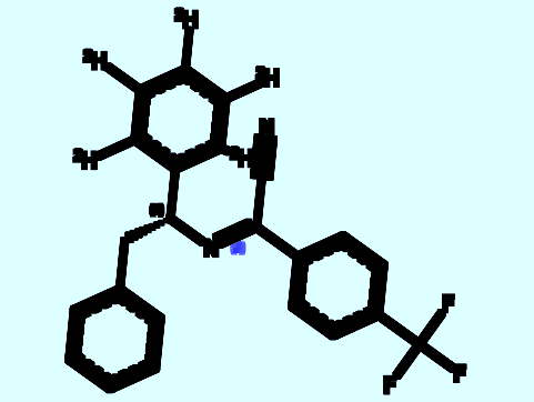 [2H]c1c([2H])c([2H])c([C@@H](Cc2ccccc2)/N=C(\C#N)c2ccc(C(F)(F)F)cc2)c([2H])c1[2H]